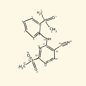 CP(C)(=O)c1ccccc1Nc1nc(S(C)(=O)=O)ncc1C#N